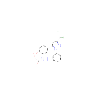 O=C1COc2ccc(-c3cc(C(F)F)nn3-c3ccccc3)cc2N1